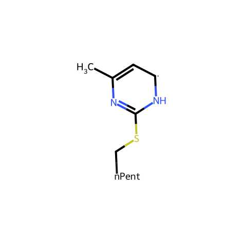 CCCCCCSC1=NC(C)=C[CH]N1